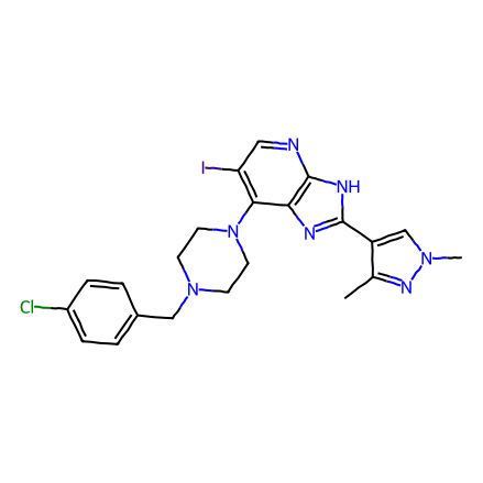 Cc1nn(C)cc1-c1nc2c(N3CCN(Cc4ccc(Cl)cc4)CC3)c(I)cnc2[nH]1